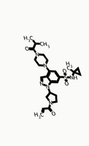 C=CC(=O)N1CCC(n2ncc3c(N4CCN(C(=O)C(C)C)CC4)cc(S(=O)(=O)NC4(C)CC4)cc32)C1